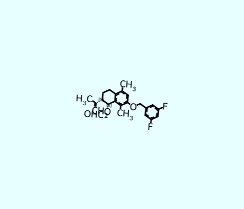 C=C(C)[C@@H]1CCc2c(C)cc(OCc3cc(F)cc(F)c3)c(C)c2[C@@H]1OC=O